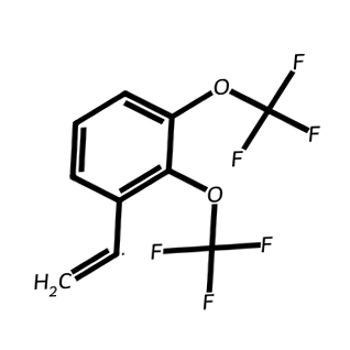 C=[C]c1cccc(OC(F)(F)F)c1OC(F)(F)F